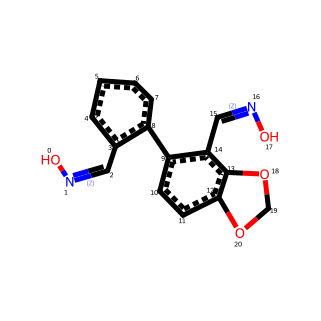 O/N=C\c1ccccc1-c1ccc2c(c1/C=N\O)OCO2